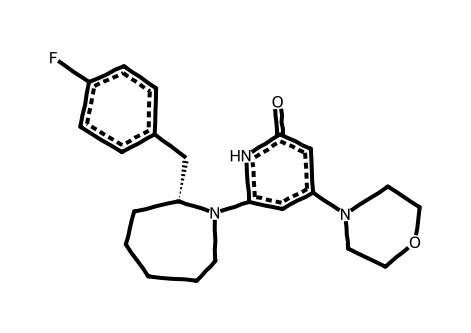 O=c1cc(N2CCOCC2)cc(N2CCCCC[C@@H]2Cc2ccc(F)cc2)[nH]1